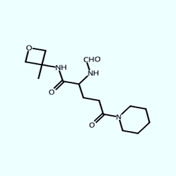 CC1(NC(=O)C(CCC(=O)N2CCCCC2)NC=O)COC1